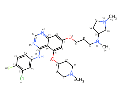 CN1CCC(Oc2cc(OCCCN(C)C3CCN(C)C3)cc3ncnc(Nc4ccc(F)c(Cl)c4)c23)CC1